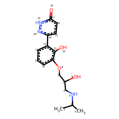 CC(C)NCC(O)COc1cccc(-c2ccc(=O)[nH]n2)c1O